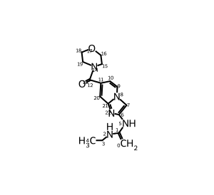 C=C(NCC)Nc1cn2ccc(C(=O)N3CCOCC3)cc2n1